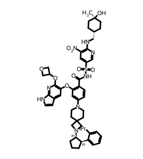 CC(C)c1ccccc1[C@H]1CCC[C@H]1N1CC2(CCN(c3ccc(C(=O)NS(=O)(=O)c4cnc(NC[C@H]5CC[C@](C)(O)CC5)c([N+](=O)[O-])c4)c(Oc4cc5cc[nH]c5nc4OC4COC4)c3)CC2)C1